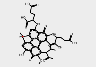 COc1c2c3c4c(c(NC(CCC(=O)O)C(=O)O)c(=O)c5c(NC(CCC(=O)O)C(=O)O)cc(OC)c(c6c(OC)cc(O)c(c1=O)c63)c54)C=C(C)C2C(C)=O